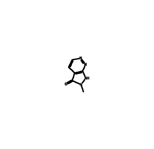 Cn1[nH]c2nnccc2c1=O